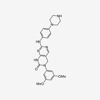 COc1cc(OC)cc(N2Cc3cnc(Nc4ccc(N5CCNCC5)cc4)nc3NC2=O)c1